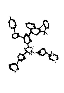 Cc1ccc(-c2cccc(-c3cc(-c4nc(-c5ccc(-c6cccnc6)cc5)nc(-c5ccc(-c6cnccn6)cc5)n4)cc(-c4cc5c(c6ccccc46)-c4ccccc4C5(C)C)c3)c2)nc1